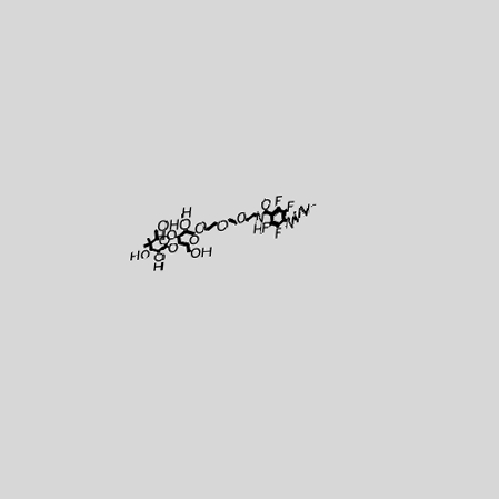 CC1(C)C(CO)O[C@@H](O[C@@H]2C(CO)O[C@@H](OCCOCCOCCNC(=O)c3c(F)c(F)c(N=[N+]=[N-])c(F)c3F)C(O)C2O)C(O)C1O